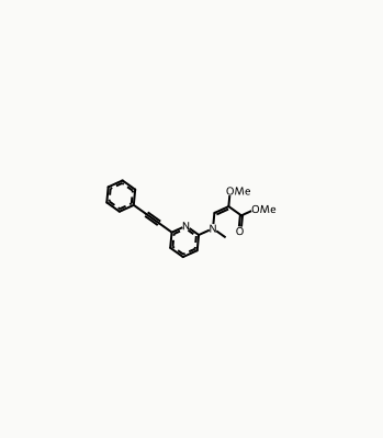 COC(=O)C(=CN(C)c1cccc(C#Cc2ccccc2)n1)OC